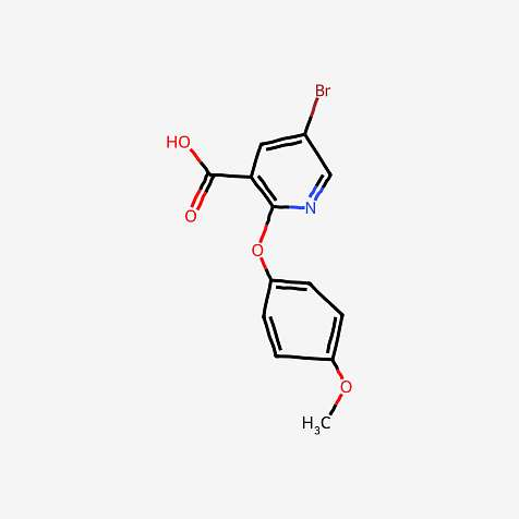 COc1ccc(Oc2ncc(Br)cc2C(=O)O)cc1